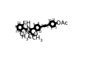 CC(=O)Oc1ccc(C#Cc2ccc3c(c2)OC(C)(C)c2nc(-c4c(F)cccc4Cl)[nH]c2-3)cc1